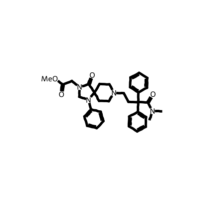 COC(=O)CN1CN(c2ccccc2)C2(CCN(CCC(C(=O)N(C)C)(c3ccccc3)c3ccccc3)CC2)C1=O